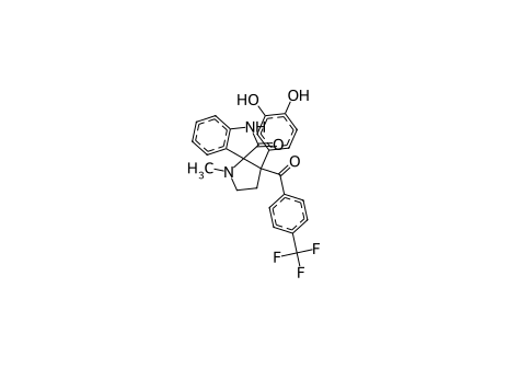 CN1CCC(C(=O)c2ccc(C(F)(F)F)cc2)(c2ccc(O)c(O)c2)C12C(=O)Nc1ccccc12